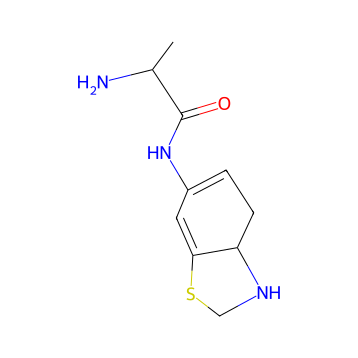 CC(N)C(=O)NC1=CCC2NCSC2=C1